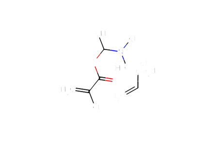 C=C(C)C(=O)OC(C)N(C)C.C=CC(=O)O.Cl